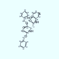 O=C(C[C@H](NC(=O)OCc1ccccc1)C(=O)OCc1ccccc1)Nc1cnccc1O